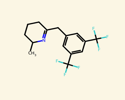 CC1CCCC(Cc2cc(C(F)(F)F)cc(C(F)(F)F)c2)=N1